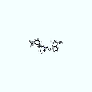 CC(C)N(C)c1ccnc(OC/C(N)=C/Nc2cccc(C(F)F)c2)n1